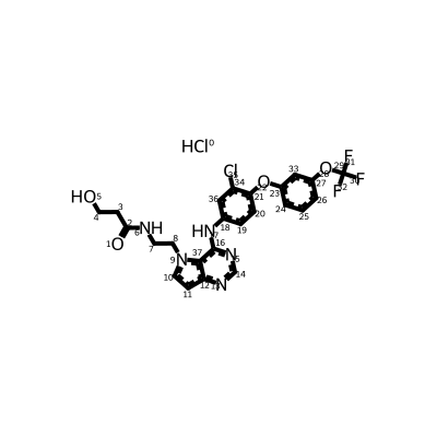 Cl.O=C(CCO)NCCn1ccc2ncnc(Nc3ccc(Oc4cccc(OC(F)(F)F)c4)c(Cl)c3)c21